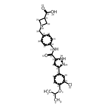 CC(C)Oc1ccc(-c2cc(C(=O)Nc3ccc(CN4CC(C(=O)O)C4)cc3)[nH]n2)cc1Cl